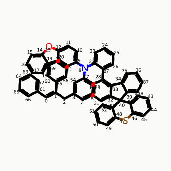 C(=C(\Cc1cccc(N(c2ccc3oc4ccccc4c3c2)c2ccccc2-c2cccc3c2-c2ccccc2C32c3ccccc3Sc3ccccc32)c1)c1ccccc1)/c1ccccc1